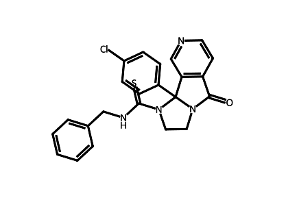 O=C1c2ccncc2C2(c3ccc(Cl)cc3)N1CCN2C(=S)NCc1ccccc1